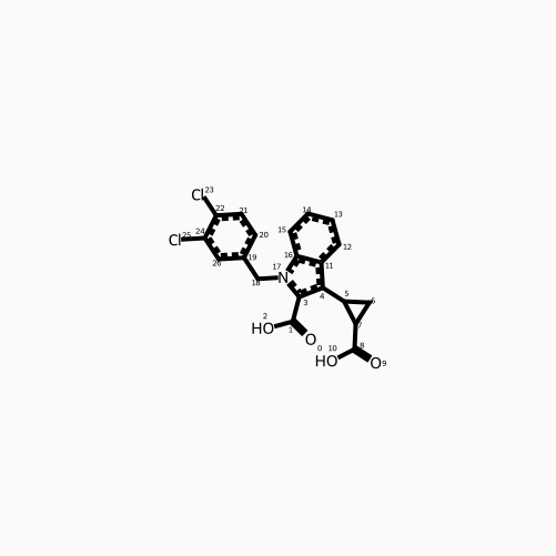 O=C(O)c1c(C2CC2C(=O)O)c2ccccc2n1Cc1ccc(Cl)c(Cl)c1